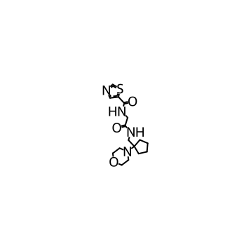 O=C(CNC(=O)c1cncs1)NCC1(N2CCOCC2)CCCC1